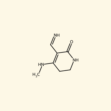 CNC1=C(C=N)C(=O)NCC1